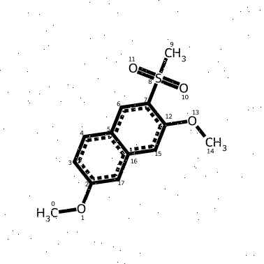 COc1ccc2cc(S(C)(=O)=O)c(OC)cc2c1